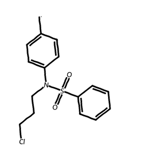 [CH2]c1ccc(N(CCCCl)S(=O)(=O)c2ccccc2)cc1